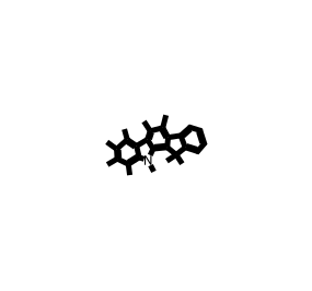 Cc1c(C)c(C)c2c(c1C)c1c(C)c(C)c3c(c1n2C)C(C)(C)c1ccccc1-3